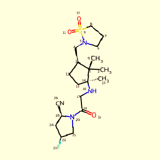 CC1(C)[C@H](CN2CCCS2(=O)=O)CC[C@]1(C)NCC(=O)N1C[C@@H](F)C[C@H]1C#N